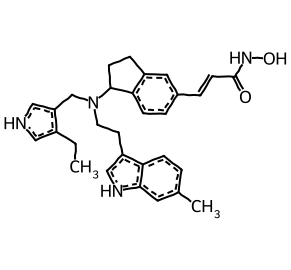 CCc1c[nH]cc1CN(CCc1c[nH]c2cc(C)ccc12)C1CCc2cc(C=CC(=O)NO)ccc21